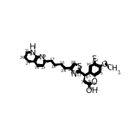 COc1ccc([C@@H](CC(=O)O)c2nc(CCCCc3ccc4c(n3)NCCC4)cs2)cc1F